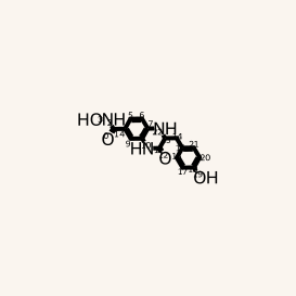 O=C(NO)c1ccc2c(c1)NC(=O)C(Cc1ccc(O)cc1)N2